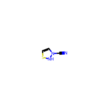 N#CN1C=CSN1